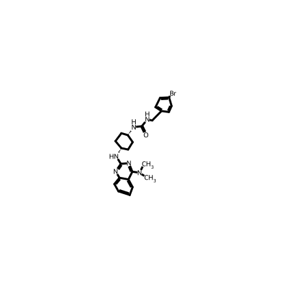 CN(C)c1nc(N[C@H]2CC[C@@H](NC(=O)NCc3ccc(Br)cc3)CC2)nc2ccccc12